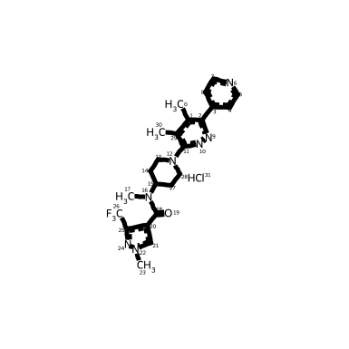 Cc1c(-c2ccncc2)nnc(N2CCC(N(C)C(=O)c3cn(C)nc3C(F)(F)F)CC2)c1C.Cl